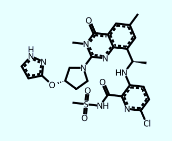 Cc1cc([C@@H](C)Nc2ccc(Cl)nc2C(=O)NS(C)(=O)=O)c2nc(N3CC[C@H](Oc4cc[nH]n4)C3)n(C)c(=O)c2c1